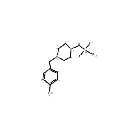 N#Cc1ccc(CN2CCN(C[B-](F)(F)F)CC2)cc1